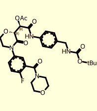 CC(=O)O[C@@H](C(=O)Nc1ccc(CNC(=O)OC(C)(C)C)cc1)[C@H]1OCCN(c2ccc(F)c(C(=O)N3CCOCC3)c2)C1=O